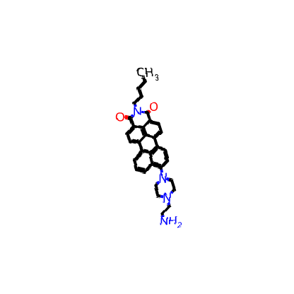 CCCCCN1C(=O)c2ccc3c4cccc5c(N6CCN(CCN)CC6)ccc(c6ccc(c2c36)C1=O)c54